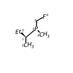 CC[C@H](C)P(C)CF